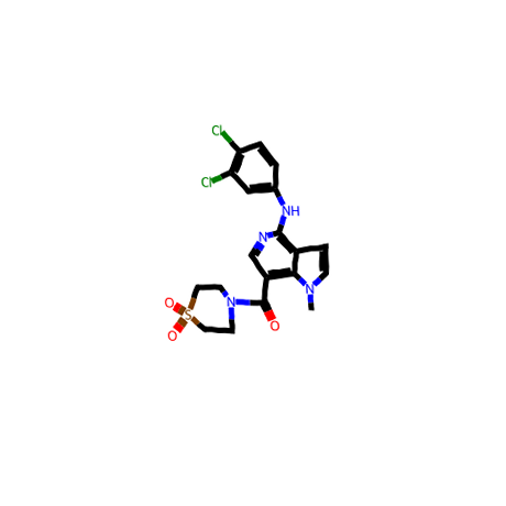 Cn1ccc2c(Nc3ccc(Cl)c(Cl)c3)ncc(C(=O)N3CCS(=O)(=O)CC3)c21